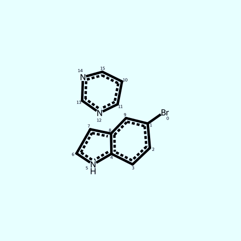 Brc1ccc2[nH]ccc2c1.c1cncnc1